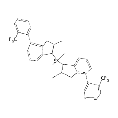 CC1Cc2c(-c3ccccc3C(F)(F)F)cccc2C1[Si](C)(C)C1c2cccc(-c3ccccc3C(F)(F)F)c2CC1C